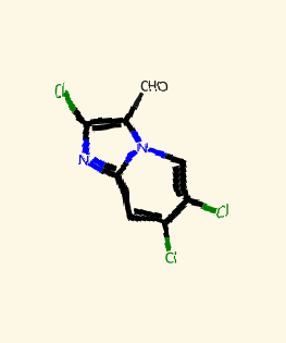 O=Cc1c(Cl)nc2cc(Cl)c(Cl)cn12